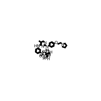 [2H]C([2H])([2H])C(C)(NS(=O)(=O)c1cccc(Nc2nc(Nc3ccc(OCCN4CCCC4)cc3)ncc2C)c1)C([2H])([2H])[2H]